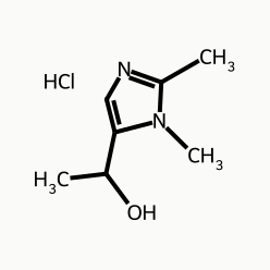 Cc1ncc(C(C)O)n1C.Cl